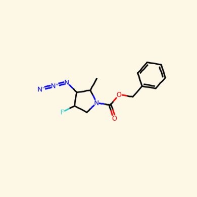 CC1C(N=[N+]=[N-])C(F)CN1C(=O)OCc1ccccc1